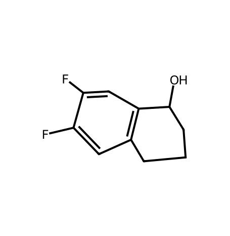 OC1CCCc2cc(F)c(F)cc21